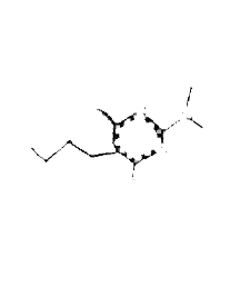 CCCCc1c(C)nc(N(C)C)nc1Cl